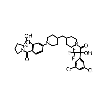 O=C(c1ccc(N2CCC(CC3CCN(C(=O)C(O)(c4cc(Cl)cc(Cl)c4)C(F)(F)F)CC3)CC2)cc1Cl)N1CCC[C@H]1CO